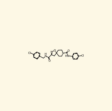 O=C(NCc1ccc(Cl)cc1)C1=NOC2(CCN(C(=O)Nc3ccc(Cl)cc3)CC2)C1